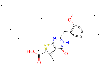 COc1ccccc1Cc1nc2sc(C(=O)O)c(C)c2c(=O)[nH]1